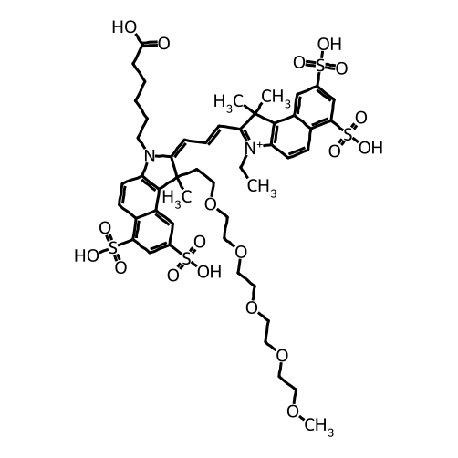 CC[N+]1=C(/C=C/C=C2/N(CCCCCC(=O)O)c3ccc4c(S(=O)(=O)O)cc(S(=O)(=O)O)cc4c3C2(C)CCOCCOCCOCCOCCOC)C(C)(C)c2c1ccc1c(S(=O)(=O)O)cc(S(=O)(=O)O)cc21